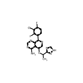 CC(Oc1cnc(-c2ccc(F)c(Cl)c2F)c2ncnc(N)c12)c1nc[nH]n1